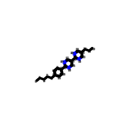 CCCCCc1ccc(-c2ncc(-c3ncc(CCC)cn3)cn2)cc1